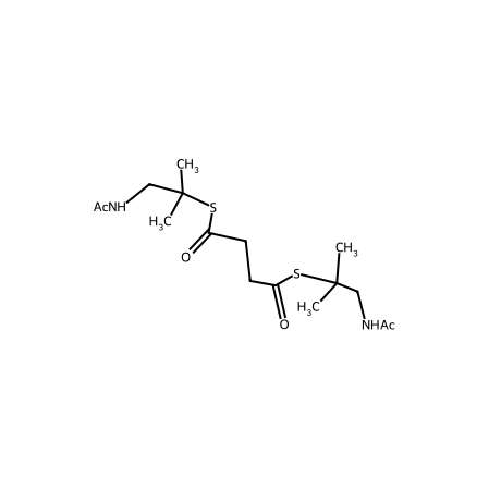 CC(=O)NCC(C)(C)SC(=O)CCC(=O)SC(C)(C)CNC(C)=O